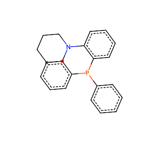 c1ccc(P(c2ccccc2)c2ccccc2N2CCCCC2)cc1